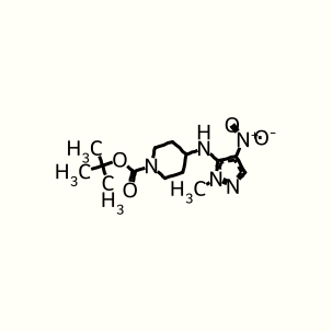 Cn1ncc([N+](=O)[O-])c1NC1CCN(C(=O)OC(C)(C)C)CC1